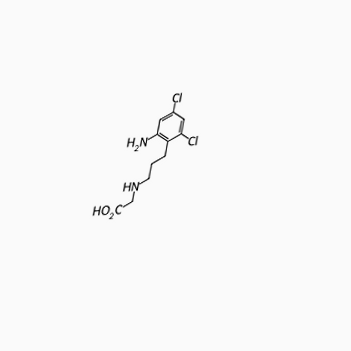 Nc1cc(Cl)cc(Cl)c1CCCNCC(=O)O